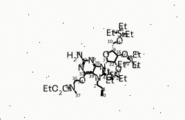 C=CCn1c(=O)n([C@@H]2O[C@H](CO[Si](CC)(CC)CC)[C@@H](O[Si](CC)(CC)CC)[C@H]2O[Si](CC)(CC)CC)c2nc(N)nc(OCN(C)C(=O)OCC)c21